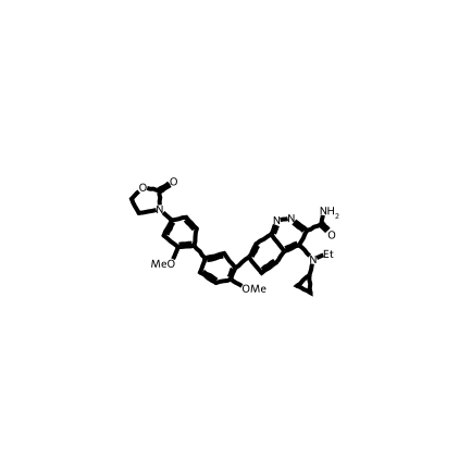 CCN(c1c(C(N)=O)nnc2cc(-c3cc(-c4ccc(N5CCOC5=O)cc4OC)ccc3OC)ccc12)C1CC1